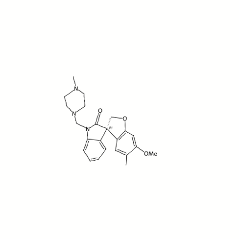 COc1cc2c(cc1C)[C@]1(CO2)C(=O)N(CN2CCN(C)CC2)c2ccccc21